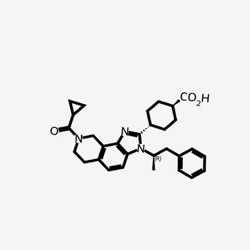 C[C@H](Cc1ccccc1)n1c2ccc3c(c2nc1[C@H]1CC[C@H](C(=O)O)CC1)CN(C(=O)C1CC1)CC3